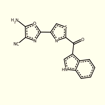 N#Cc1nc(-c2csc(C(=O)c3c[nH]c4ccccc34)n2)oc1N